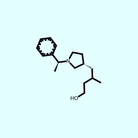 CC(CCO)C[C@H]1CCN([C@@H](C)c2ccccc2)C1